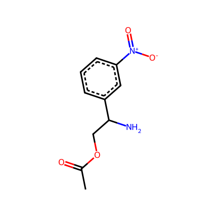 CC(=O)OCC(N)c1cccc([N+](=O)[O-])c1